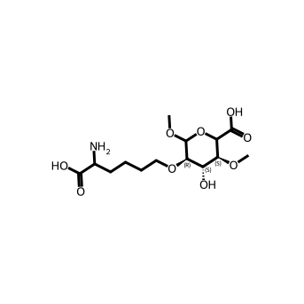 COC1OC(C(=O)O)[C@@H](OC)[C@H](O)[C@H]1OCCCCC(N)C(=O)O